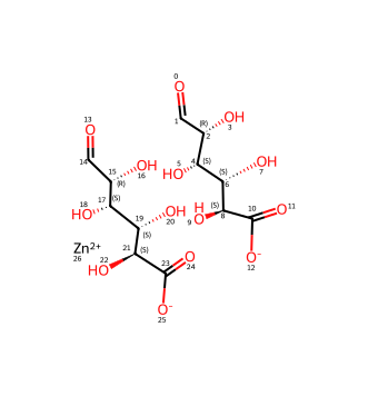 O=C[C@H](O)[C@@H](O)[C@H](O)[C@H](O)C(=O)[O-].O=C[C@H](O)[C@@H](O)[C@H](O)[C@H](O)C(=O)[O-].[Zn+2]